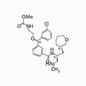 COC(=O)NCCO[C@@H](c1cccc(Cl)c1)c1cccc(C(=O)N[C@H](C[AsH]C)C[C@H]2CCCCOC2)c1